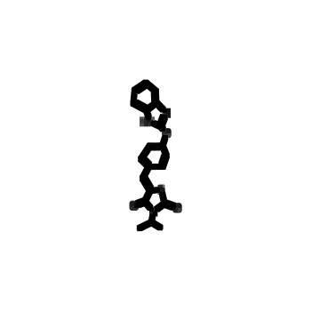 CC(C)N1C(=O)S/C(=C\c2ccc(Oc3nc4ccccc4[nH]3)cc2)C1=O